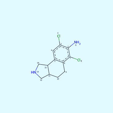 Nc1c(Cl)cc2c(c1Cl)CCC1CNCC21